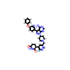 Nc1ncnc2c1c(-c1ccc(Oc3ccccc3)cc1)nn2C1CCN(Cc2cc(C3CCC(=O)NC3=O)c(F)nn2)CC1